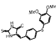 COc1ccc(Sc2ccc(C=C3NC(=S)NC3=O)cc2)cc1OC